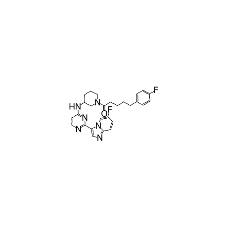 O=C(CCCCc1ccc(F)cc1)N1CCCC(Nc2ccnc(-c3cnc4ccc(F)cn34)n2)C1